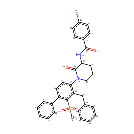 CS(=O)(=O)c1c(-c2ccccc2)ccc(N2CCCC(NC(=O)c3ccc(Cl)cc3)C2=O)c1Cc1ccccc1